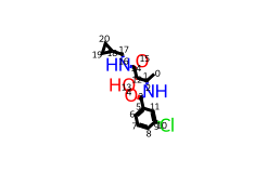 CC(NC(=O)c1cccc(Cl)c1)C(O)C(=O)NCC1CC1